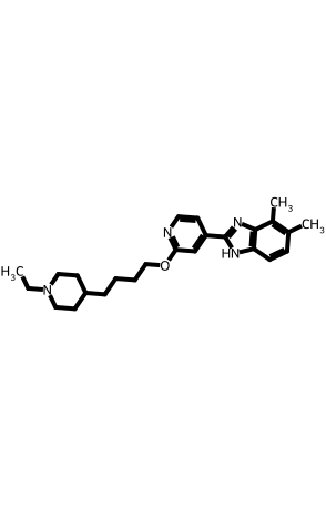 CCN1CCC(CCCCOc2cc(-c3nc4c(C)c(C)ccc4[nH]3)ccn2)CC1